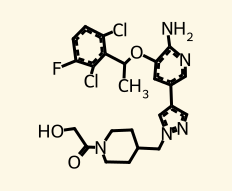 CC(Oc1cc(-c2cnn(CC3CCN(C(=O)CO)CC3)c2)cnc1N)c1c(Cl)ccc(F)c1Cl